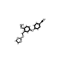 N#Cc1ccc(Oc2ccc(N=N)c(COB3OCCO3)c2)cc1